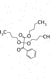 CCCCOC(=O)C(OCCCC)(OCCCC)C(=O)c1ccccc1